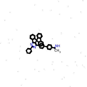 CC(=N)c1ccc(-c2ccc(-c3nc(C4=CCCC=C4)nc4c3C3(c5ccccc5-c5ccccc53)c3ccccc3-4)cc2)cc1